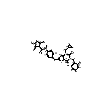 Cc1nn(C)c(C)c1C(=O)N(C)c1ccc(Cc2nc3c([nH]2)c(=O)n(Cc2ccccc2F)c(=O)n3CC2CC2)cc1